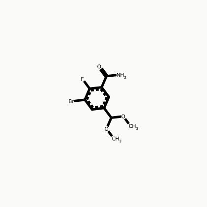 COC(OC)c1cc(Br)c(F)c(C(N)=O)c1